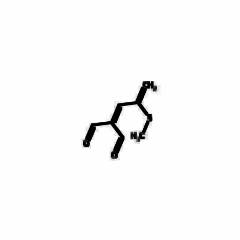 C=C(C=C(C=O)C=O)SC